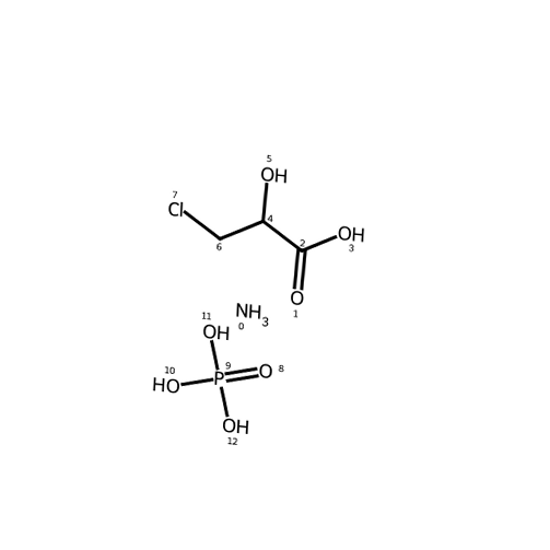 N.O=C(O)C(O)CCl.O=P(O)(O)O